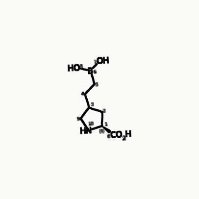 O=C(O)[C@@H]1CC(CCB(O)O)CN1